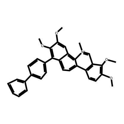 COc1cc2c(ccc3c4ccc(OC)c(OC)c4c[n+](C)c23)c(-c2ccc(-c3ccccc3)cc2)c1OC